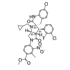 COC(=O)c1ccc(N2C[C@H]3[C@@H](C2=O)[C@H](c2cccc(Cl)c2F)[C@@]2(Cc4ccc(Cl)cc4NC2=O)N3CC2CC2)c([N+](=O)[O-])c1C